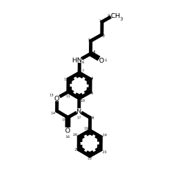 CCCCC(=O)Nc1ccc2c(c1)OCC(=O)N2Cc1ccccc1